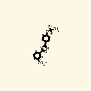 CC(F)(F)Oc1ccc(-c2nnc(-c3cccc(C(=O)O)c3)o2)cc1